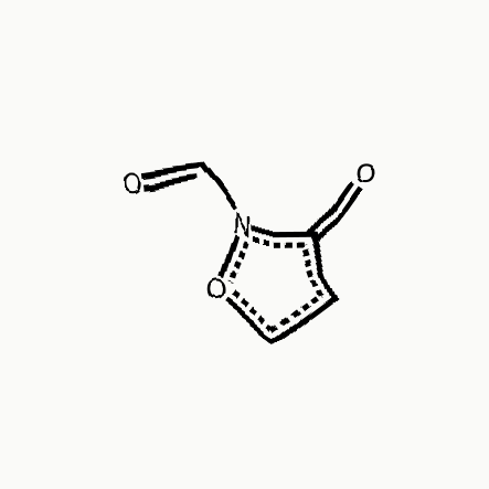 O=Cn1occc1=O